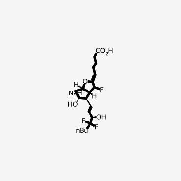 CCCCC(F)(F)[C@H](O)/C=C/[C@@H]1[C@H]2C(F)/C(=C/CCCC(=O)O)O[C@H]2C[C@H]1O.[NaH]